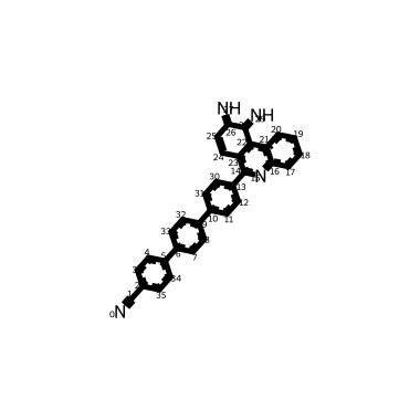 N#Cc1ccc(-c2ccc(-c3ccc(-c4nc5ccccc5c5c4C=CC(=N)C5=N)cc3)cc2)cc1